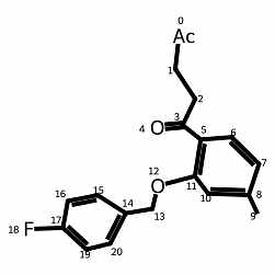 CC(=O)CCC(=O)c1ccc(C)cc1OCc1ccc(F)cc1